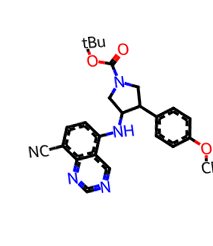 CC(C)(C)OC(=O)N1CC(Nc2ccc(C#N)c3ncncc23)C(c2ccc(OC(F)(F)F)cc2)C1